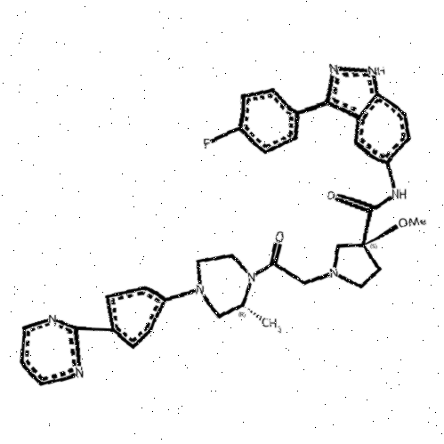 CO[C@@]1(C(=O)Nc2ccc3[nH]nc(-c4ccc(F)cc4)c3c2)CCN(CC(=O)N2CCN(c3ccc(-c4ncccn4)cc3)C[C@H]2C)C1